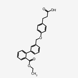 CCOC(=O)c1ccccc1-c1cccc(COc2ccc(CCC(=O)O)cc2)c1